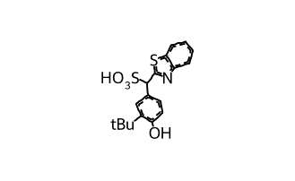 CC(C)(C)c1cc(C(c2nc3ccccc3s2)S(=O)(=O)O)ccc1O